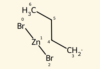 [Br][Zn][Br].[CH2]CCC